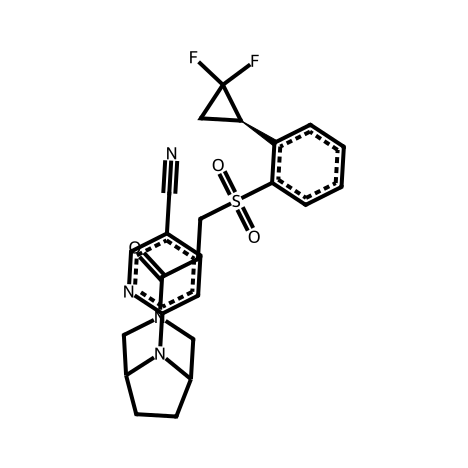 N#Cc1ccc(N2C3CCC2CN(C(=O)CCS(=O)(=O)c2ccccc2[C@H]2CC2(F)F)C3)nc1